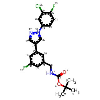 CC(C)(C)OC(=O)NCc1cc(F)cc(-c2cnn(-c3ccc(F)c(Cl)c3)c2)c1